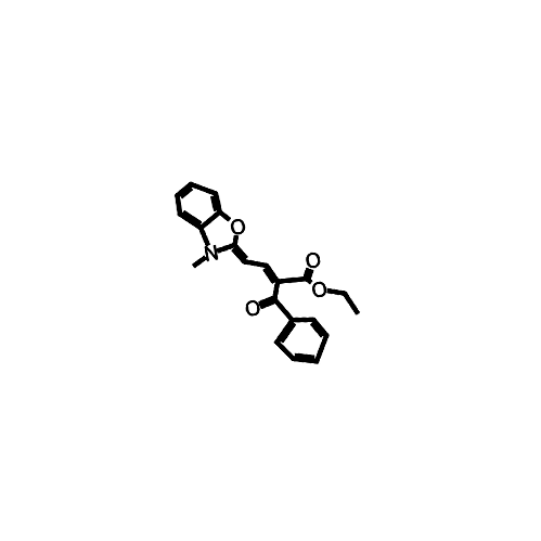 CCOC(=O)/C(=C/C=C1\Oc2ccccc2N1C)C(=O)c1ccccc1